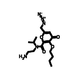 CCCCOc1c(C(=O)N(CCN)C(C)C)oc(CN=[N+]=[N-])cc1=O